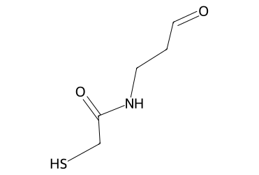 O=CCCNC(=O)CS